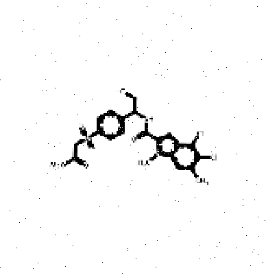 COC(=O)CS(=O)(=O)c1ccc(C(CO)NC(=O)c2cc3c(Cl)c(Cl)c(C)cc3n2C)cc1